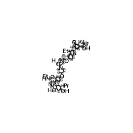 CCNC(=O)c1nnc(-c2cc(C(C)C)c(O)cc2O)n1-c1ccc(OC2CCN(C(=O)CN(C)C(=O)Oc3ccc4nc5c(c(CC)c4c3)Cn3c-5cc4c(c3=O)COC(=O)[C@H]4O)CC2)cc1